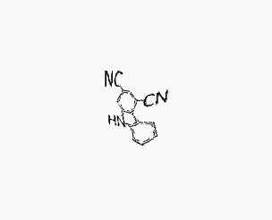 N#Cc1cc(C#N)c2c(c1)[nH]c1ccccc12